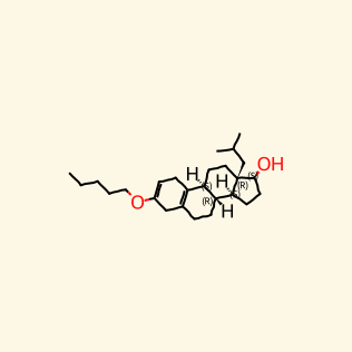 CCCCCOC1=CCC2=C(CC[C@@H]3[C@@H]2CC[C@]2(CC(C)C)[C@@H](O)CC[C@@H]32)C1